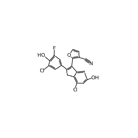 N#Cc1ccoc1C1=C(c2cc(F)c(O)c(Cl)c2)Cc2c(Cl)cc(O)cc21